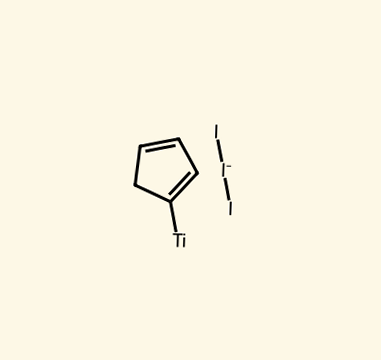 I[I-]I.[Ti][C]1=CC=CC1